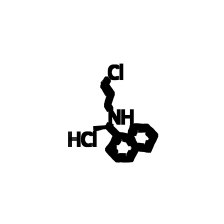 C[C@@H](NC/C=C/Cl)c1cccc2ccccc12.Cl